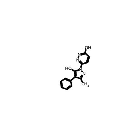 Cc1nn(-c2ccc(O)nn2)c(O)c1-c1ccccc1